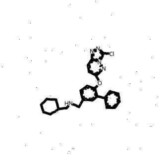 Clc1nnc2ccc(Oc3ccc(CNCC4CCCCC4)cc3-c3ccccc3)nn12